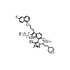 CCOC(=O)c1[nH]c2c(-c3c(C(CCC4CCOCC4)NC)nn(C)c3CC)c(Cl)ccc2c1CCCOc1cccc2cc(F)ccc12